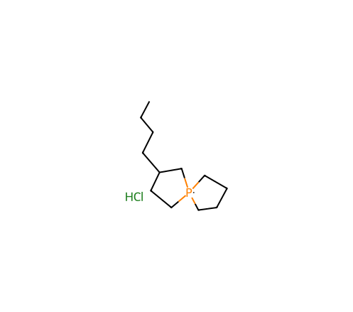 CCCCC1CC[P]2(CCCC2)C1.Cl